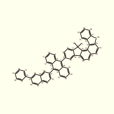 CC1(C)c2ccc(-c3c4ccccc4c(-c4ccc5ccc(-c6ccccc6)cc5c4)c4ccccc34)cc2-c2ccc3ccc4sc5ccccc5c4c3c21